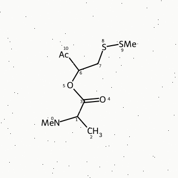 CNC(C)C(=O)OC(CSSC)C(C)=O